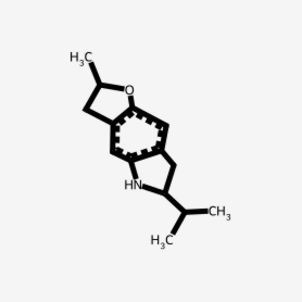 CC1Cc2cc3c(cc2O1)CC(C(C)C)N3